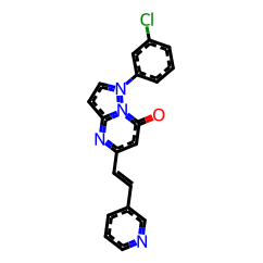 O=c1cc(/C=C/c2cccnc2)nc2ccn(-c3cccc(Cl)c3)n12